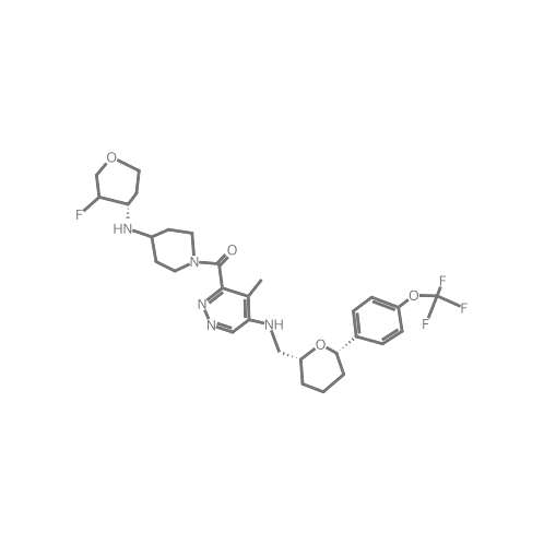 Cc1c(NC[C@H]2CCC[C@@H](c3ccc(OC(F)(F)F)cc3)O2)cnnc1C(=O)N1CCC(N[C@H]2CCOCC2F)CC1